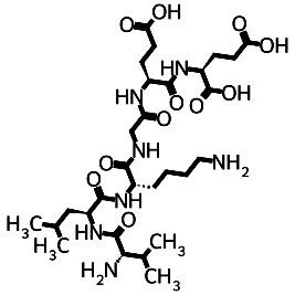 CC(C)C[C@H](NC(=O)[C@@H](N)C(C)C)C(=O)N[C@@H](CCCCN)C(=O)NCC(=O)N[C@@H](CCC(=O)O)C(=O)N[C@@H](CCC(=O)O)C(=O)O